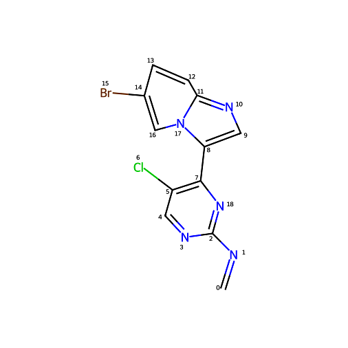 C=Nc1ncc(Cl)c(-c2cnc3ccc(Br)cn23)n1